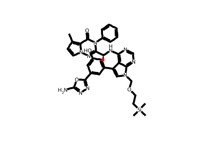 Cc1ccn2nc([C@H](C)Nc3ncnc4c3c(-c3cc(O)cc(-c5nnc(N)o5)c3)cn4COCC[Si](C)(C)C)n(-c3ccccc3)c(=O)c12